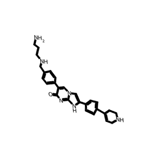 NCCCNCc1ccc(-c2cn3cc(-c4ccc(C5=CCNCC5)cc4)[nH]c3nc2=O)cc1